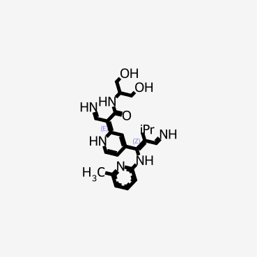 Cc1cccc(N/C(C2=C/C(=C(/C=N)C(=O)NC(CO)CO)NC=C2)=C(\C=N)C(C)C)n1